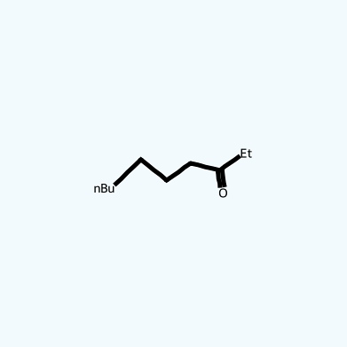 [CH2]CCCCCCC(=O)CC